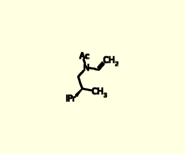 C=CN(C[C@@H](C)C(C)C)C(C)=O